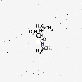 CN(C)C=Nc1nc(C(=O)N/N=C/N(C)C)ccc1[N+](=O)[O-]